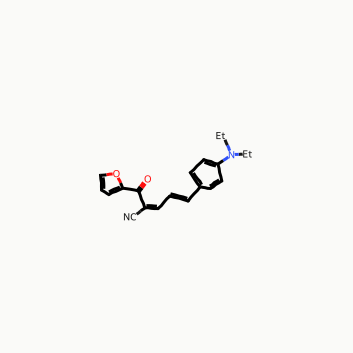 CCN(CC)c1ccc(/C=C/C=C(/C#N)C(=O)c2ccco2)cc1